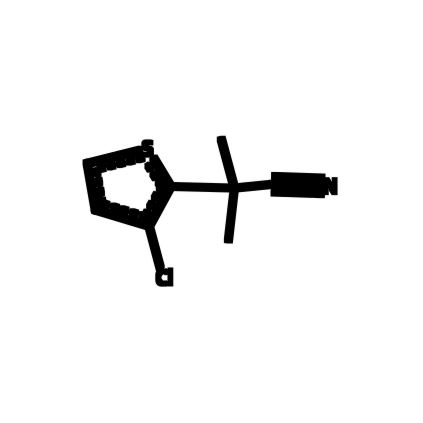 CC(C)(C#N)c1sccc1Cl